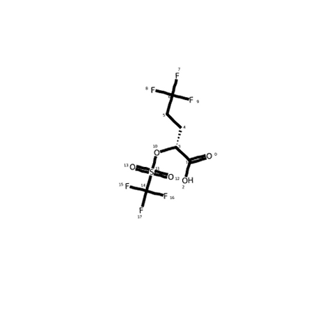 O=C(O)[C@@H](CCC(F)(F)F)OS(=O)(=O)C(F)(F)F